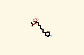 CO[Si](CCCCCCc1ccc(F)cc1)(OC)OC(C)C